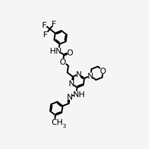 Cc1cccc(/C=N/Nc2cc(N3CCOCC3)nc(CCOC(=O)Nc3cccc(C(F)(F)F)c3)n2)c1